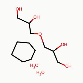 C1CCCCC1.O.O.OCC(O)COCC(O)CO